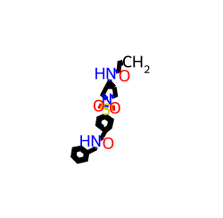 C=CC(=O)NC1C2CN(S(=O)(=O)c3ccc(C(=O)NCc4ccccc4)cc3)CC21